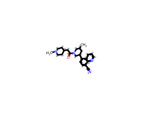 CC1CC(c2ccc(C#N)c3ncccc23)CN(C(=O)CC2CCN(C)CC2)C1